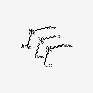 CCCCCCCCCCCCCCCCOP(=O)([O-])OCCCCCCCCCCCCCCCC.CCCCCCCCCCCCCCCCOP(=O)([O-])OCCCCCCCCCCCCCCCC.CCCCCCCCCCCCCCCCOP(=O)([O-])OCCCCCCCCCCCCCCCC.[Na+].[Zn+2]